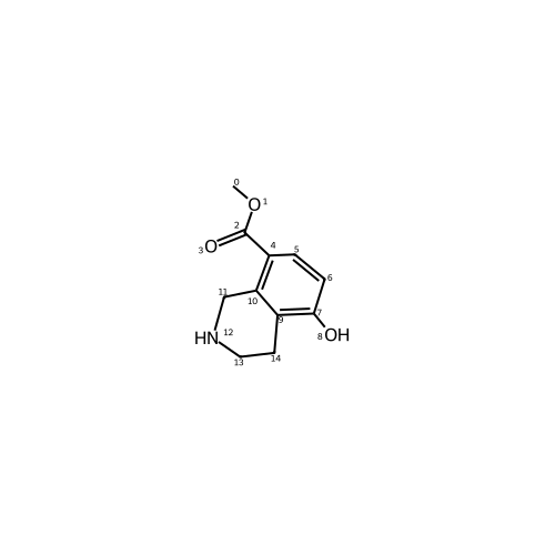 COC(=O)c1ccc(O)c2c1CNCC2